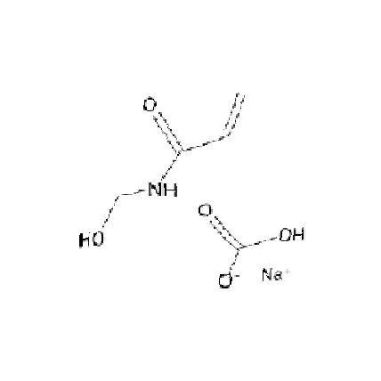 C=CC(=O)NCO.O=C([O-])O.[Na+]